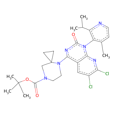 Cc1ccnc(C(C)C)c1-n1c(=O)nc(N2CCN(C(=O)OC(C)(C)C)CC23CC3)c2cc(Cl)c(Cl)nc21